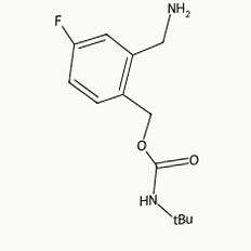 CC(C)(C)NC(=O)OCc1ccc(F)cc1CN